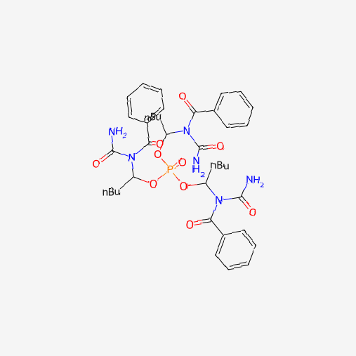 CCCCC(OP(=O)(OC(CCCC)N(C(N)=O)C(=O)c1ccccc1)OC(CCCC)N(C(N)=O)C(=O)c1ccccc1)N(C(N)=O)C(=O)c1ccccc1